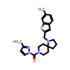 Cc1ccc2cc(CN3CCCC34CCN(C(=O)n3ccc(C(=O)O)n3)CC4)sc2c1